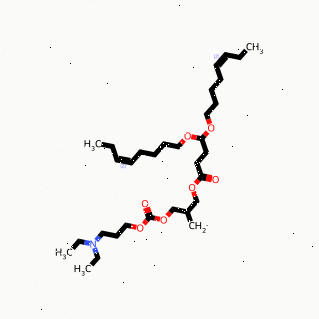 [CH2]C(COC(=O)CCC(OCCCC/C=C\CC)OCCCC/C=C\CC)COC(=O)OCCCN(CC)CC